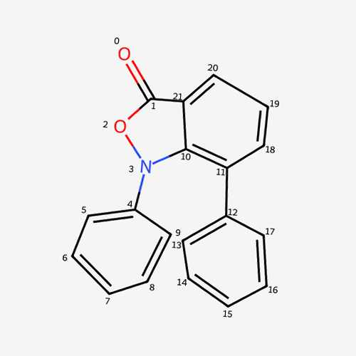 O=c1on(-c2ccccc2)c2c(-c3ccccc3)cccc12